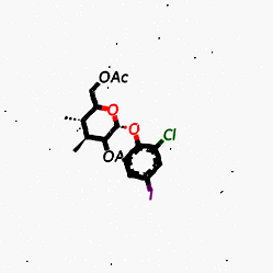 CC(=O)OCC1O[C@H](Oc2ccc(I)cc2Cl)C(OC(C)=O)[C@@H](C)[C@@H]1C